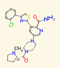 CN1CCC[C@H]1C(=O)N1CCN(c2cnc(C(N)=O)c(-c3nc(-c4ccccc4Cl)cs3)c2)CC1